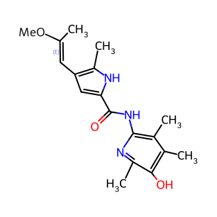 CO/C(C)=C/c1cc(C(=O)Nc2nc(C)c(O)c(C)c2C)[nH]c1C